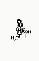 C=CC1=CCN(S(=O)(=O)c2ccc3ccccc3c2)C(C(=O)NO)C1